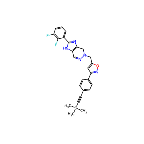 C[Si](C)(C)C#Cc1ccc(-c2cc(CN3Cc4nc(-c5cccc(F)c5F)[nH]c4C=N3)on2)cc1